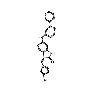 N#Cc1c[nH]c(C=C2C(=O)Nc3cc(Nc4cccc(-c5c[c]ccc5)c4)ccc32)c1